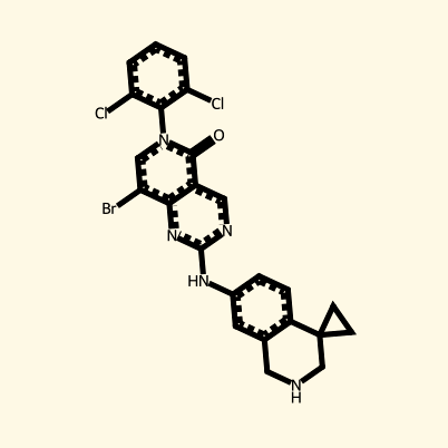 O=c1c2cnc(Nc3ccc4c(c3)CNCC43CC3)nc2c(Br)cn1-c1c(Cl)cccc1Cl